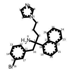 NC(CCCn1ccnc1)(Cc1cccc(Br)c1)c1cccc2ccccc12